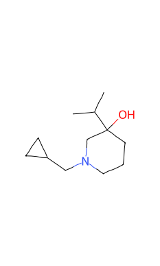 CC(C)C1(O)CCCN(CC2CC2)C1